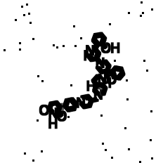 O=C1CC[C@H](c2ccc(N3CCC(CN4CC[C@H]5[C@H](CCN5C(=O)C5(c6ccccc6)CCN(c6cnnc(-c7ccccc7O)c6)CC5)C4)CC3)cc2)C(=O)N1